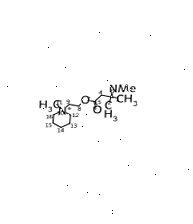 CNC(C)(C)CC(=O)OCC[N+]1(C)CCCCC1